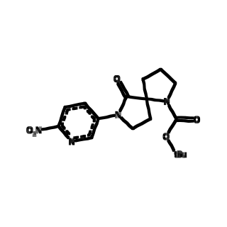 CC(C)(C)OC(=O)N1CCCC12CCN(c1ccc([N+](=O)[O-])nc1)C2=O